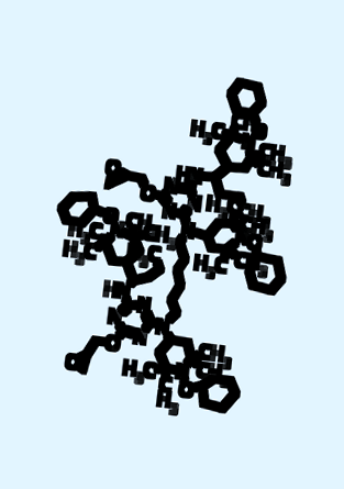 CCCC(Nc1nc(OCC2CO2)nc(N(CCCCCCN(c2nc(NC(CCC)C3CC(C)(C)N(OC4CCCCC4)C(C)(C)C3)nc(OCC3CO3)n2)C2CC(C)(C)N(OC3CCCCC3)C(C)(C)C2)C2CC(C)(C)N(OC3CCCCC3)C(C)(C)C2)n1)C1CC(C)(C)N(OC2CCCCC2)C(C)(C)C1